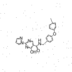 Cc1ccc(Oc2ccc(CNC(=O)c3cnc(-n4cccn4)nc3O)cc2)cc1